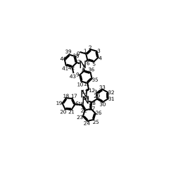 Cc1ccccc1N(c1ccc(C=Nn2c(-c3ccccc3)c3ccccc3c2-c2ccccc2)cc1)c1ccccc1C